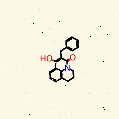 O=c1c(Cc2ccccc2)c(O)c2cccc3c2n1CCC3